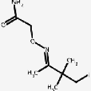 C/C(=N\OCC(N)=O)C(C)(C)CI